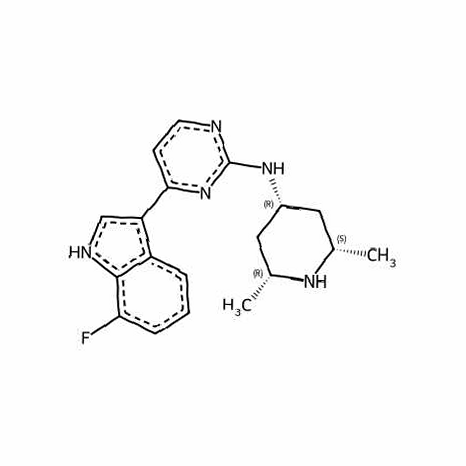 C[C@@H]1C[C@H](Nc2nccc(-c3c[nH]c4c(F)cccc34)n2)C[C@H](C)N1